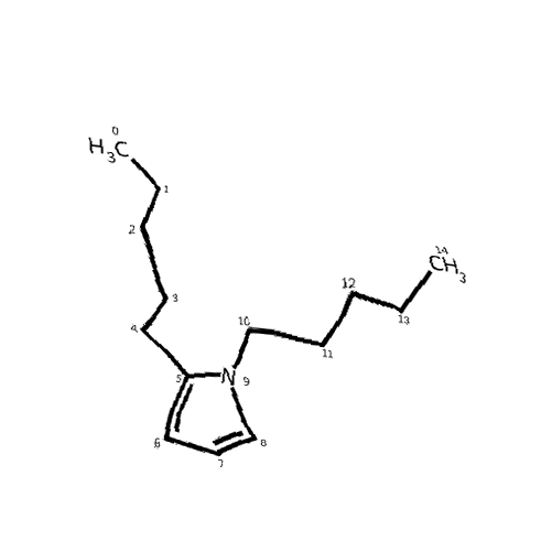 CCCCCc1cccn1CCCCC